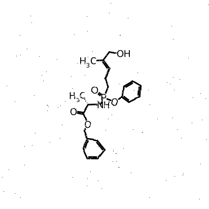 C/C(=C\CCP(=O)(N[C@@H](C)C(=O)OCc1ccccc1)Oc1ccccc1)CO